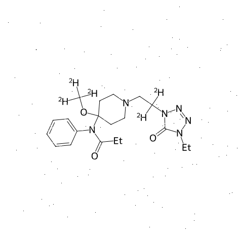 [2H]C([2H])([2H])OC1(N(C(=O)CC)c2ccccc2)CCN(CC([2H])([2H])n2nnn(CC)c2=O)CC1